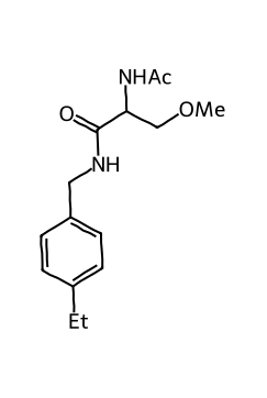 CCc1ccc(CNC(=O)C(COC)NC(C)=O)cc1